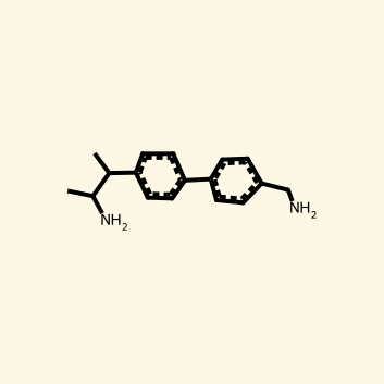 CC(N)C(C)c1ccc(-c2ccc(CN)cc2)cc1